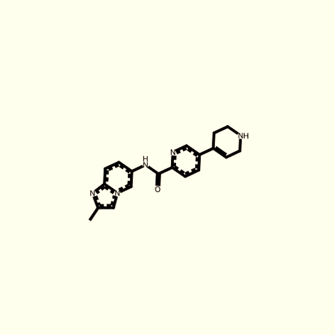 Cc1cn2cc(NC(=O)c3ccc(C4=CCNCC4)cn3)ccc2n1